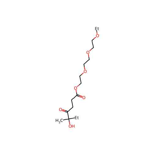 CCOCCOCCOCCOC(=O)CCC(=O)C(C)(O)CC